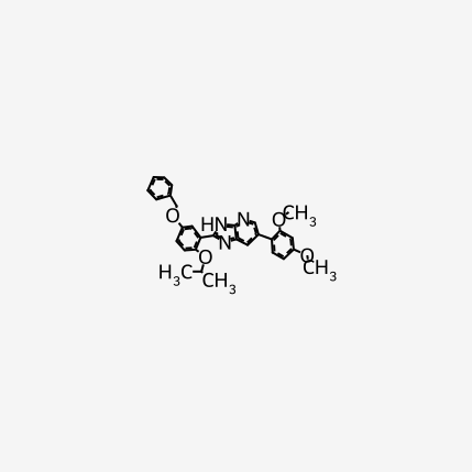 COc1ccc(-c2cnc3[nH]c(-c4cc(OCc5ccccc5)ccc4OC(C)C)nc3c2)c(OC)c1